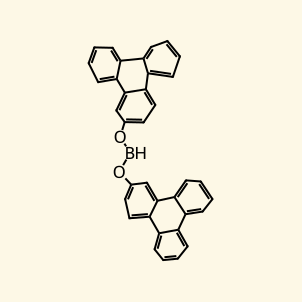 B(Oc1ccc2c3ccccc3c3ccccc3c2c1)Oc1ccc2c3ccccc3c3ccccc3c2c1